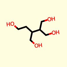 OCCC(CO)C(CO)CO